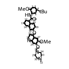 COc1ccc(C(C)(C)C)cc1NC(=O)c1cccc2cc(Oc3ccnc4cc(OCN5CCN(C)CC5)c(OC)cc34)ccc12